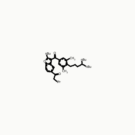 CCCCc1oc2ccc(C(=O)CC(C)C)cc2c1C(=O)c1cc(C)c(CCCC(CCCC)CCCC)c(C)c1